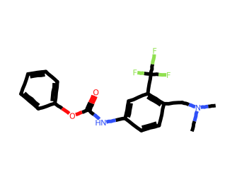 CN(C)Cc1ccc(NC(=O)Oc2ccccc2)cc1C(F)(F)F